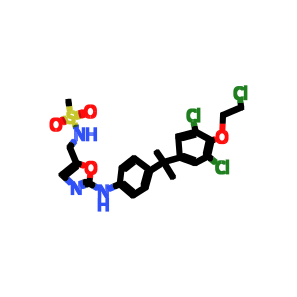 CC(C)(c1ccc(Nc2ncc(CNS(C)(=O)=O)o2)cc1)c1cc(Cl)c(OCCCl)c(Cl)c1